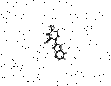 C=C1COC(C2=Cc3ccccc3C2)C(=O)N1